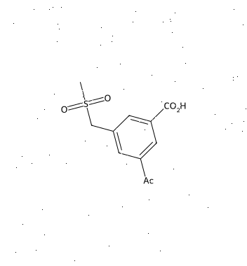 CC(=O)c1cc(CS(C)(=O)=O)cc(C(=O)O)c1